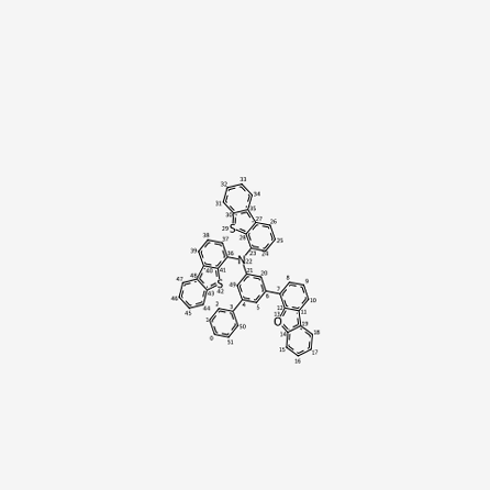 c1ccc(-c2cc(-c3cccc4c3oc3ccccc34)cc(N(c3cccc4c3sc3ccccc34)c3cccc4c3sc3ccccc34)c2)cc1